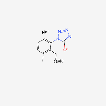 COCc1c(C)cccc1-n1nnnc1[O-].[Na+]